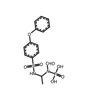 CC(NS(=O)(=O)c1ccc(Oc2ccccc2)cc1)N(C=O)P(=O)(O)O